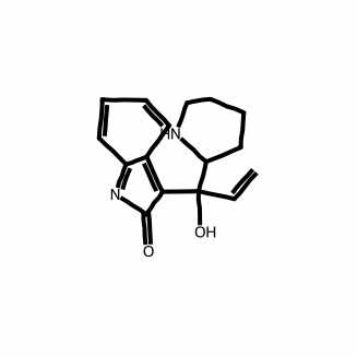 C=CC(O)(C1=c2ccccc2=NC1=O)C1CCCCN1